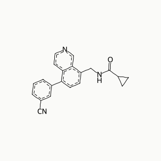 N#Cc1cccc(-c2ccc(CNC(=O)C3CC3)c3cnccc23)c1